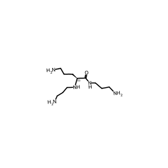 NCCCNC(=O)[C@H](CCCN)NCCCN